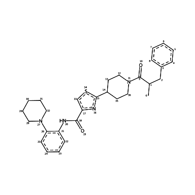 CC(Cc1ccccc1)C(=O)N1CCC(c2nc(C(=O)Nc3ccccc3N3CCCCC3)cs2)CC1